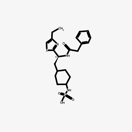 CCc1csc([C@H](CC2CCC(NS(=O)(=O)O)CC2)NC(=O)Cc2ccccc2)n1